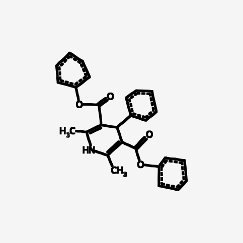 CC1=C(C(=O)Oc2ccccc2)C(c2ccccc2)C(C(=O)Oc2ccccc2)=C(C)N1